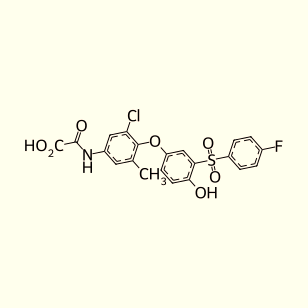 Cc1cc(NC(=O)C(=O)O)cc(Cl)c1Oc1ccc(O)c(S(=O)(=O)c2ccc(F)cc2)c1